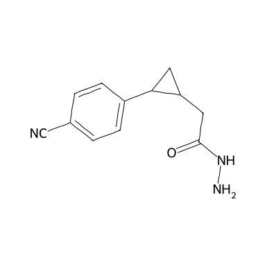 N#Cc1ccc(C2CC2CC(=O)NN)cc1